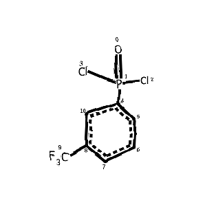 O=P(Cl)(Cl)c1cccc(C(F)(F)F)c1